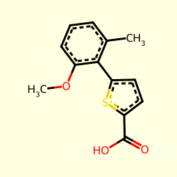 COc1cccc(C)c1-c1ccc(C(=O)O)s1